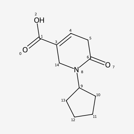 O=C(O)C1=CCC(=O)N(C2CCCC2)C1